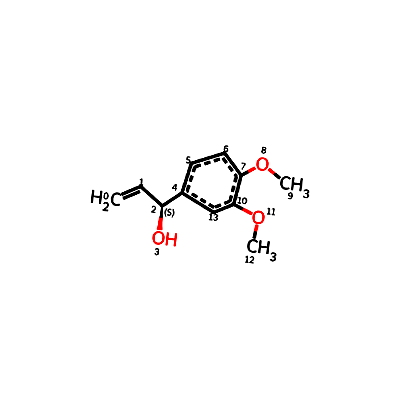 C=C[C@H](O)c1ccc(OC)c(OC)c1